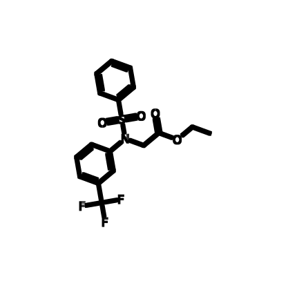 CCOC(=O)CN(c1cccc(C(F)(F)F)c1)S(=O)(=O)c1ccccc1